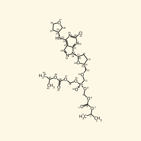 CC(C)OC(=O)OCOP(=O)(COC[C@@H]1CC[C@H](n2ncc3c(N[C@H]4CCOC4)nc(Cl)nc32)O1)OCOC(=O)OC(C)C